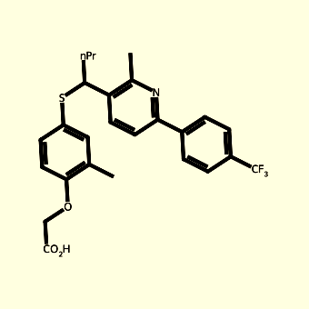 CCCC(Sc1ccc(OCC(=O)O)c(C)c1)c1ccc(-c2ccc(C(F)(F)F)cc2)nc1C